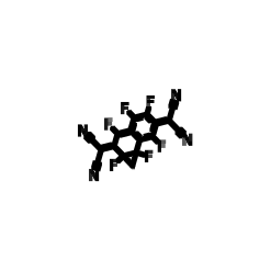 N#CC(C#N)=C1C(F)=c2c(F)c(F)c(=C(C#N)C#N)c(F)c2C2(F)CC12F